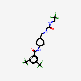 O=C(CNCC1CCC(NC(=O)c2cc(C(F)(F)F)cc(C(F)(F)F)c2)CC1)NCC(F)(F)F